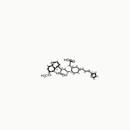 COc1ccc2nccc([C@@H](CC[C@@H]3CCN(CCSc4cccs4)C[C@@H]3CC(=O)O)NO)c2c1